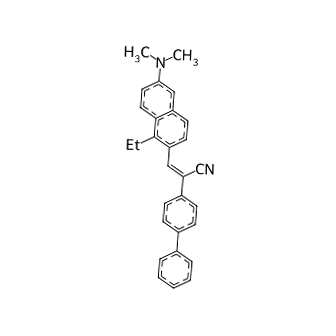 CCc1c(/C=C(\C#N)c2ccc(-c3ccccc3)cc2)ccc2cc(N(C)C)ccc12